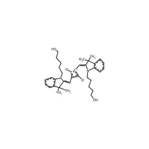 CC1(C)C(=Cc2c([O-])[c+](C=C3N(CCCCCO)c4ccccc4C3(C)C)[c+]2[O-])N(CCCCCO)c2ccccc21